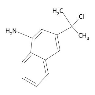 CC(C)(Cl)c1cc(N)c2ccccc2c1